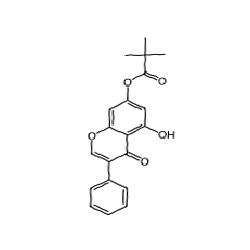 CC(C)(C)C(=O)Oc1cc(O)c2c(=O)c(-c3ccccc3)coc2c1